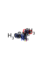 COc1cc(-c2cnc3c(n2)c(-c2ccc(C(=O)N(C)CC4CCOC4)cc2)cn3SI)cc2c1CN(C)CC2